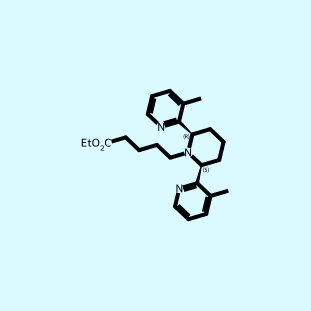 CCOC(=O)CCCCN1[C@@H](c2ncccc2C)CCC[C@H]1c1ncccc1C